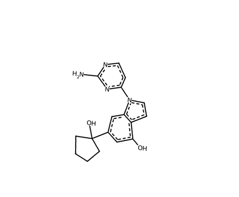 Nc1nccc(-n2ccc3c(O)cc(C4(O)CCCC4)cc32)n1